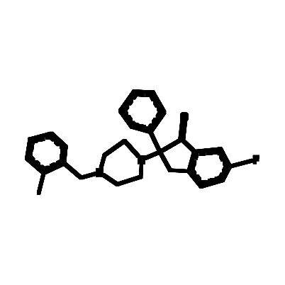 Cc1ccccc1CN1CCN(C2(c3ccccc3)Cc3ccc(F)cc3C2=O)CC1